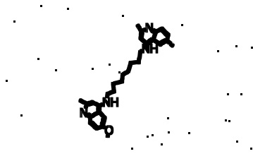 COc1ccc2nc(C)cc(NCCCCCCCCCNc3cc(C)nc4ccc(C)cc34)c2c1